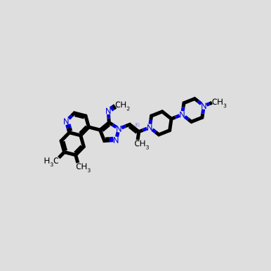 C=Nc1c(-c2ccnc3cc(C)c(C)cc23)cnn1/C=C(\C)N1CCC(N2CCN(C)CC2)CC1